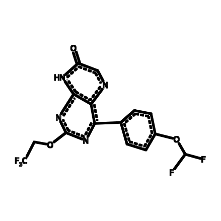 O=c1cnc2c(-c3ccc(OC(F)F)cc3)nc(OCC(F)(F)F)nc2[nH]1